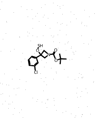 CC(C)(C)OC(=O)N1CC(OS)(c2cccc(Cl)c2)C1